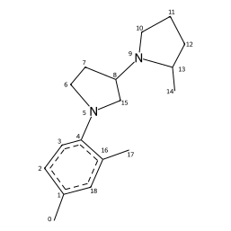 Cc1ccc(N2CCC(N3CCCC3C)C2)c(C)c1